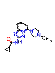 CN1CCN(c2cccc3nc(NC(=O)C4CC4)nn23)CC1